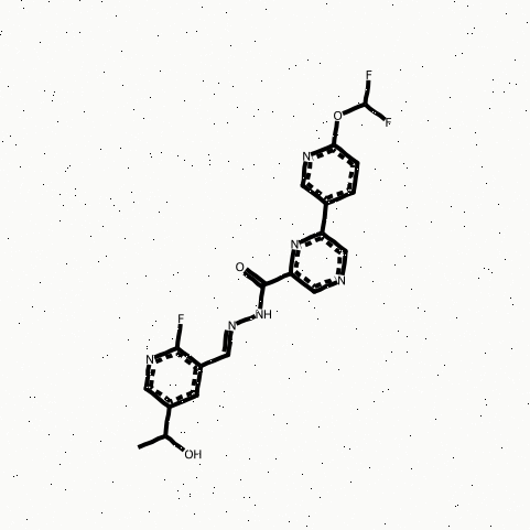 CC(O)c1cnc(F)c(/C=N/NC(=O)c2cncc(-c3ccc(OC(F)F)nc3)n2)c1